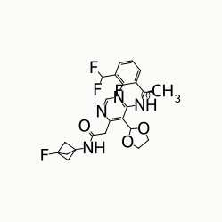 C[C@@H](Nc1ncnc(CC(=O)NC23CC(F)(C2)C3)c1C1OCCO1)c1cccc(C(F)F)c1F